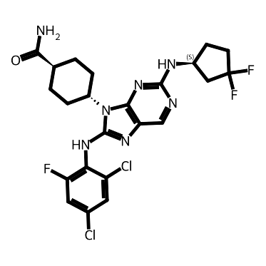 NC(=O)[C@H]1CC[C@H](n2c(Nc3c(F)cc(Cl)cc3Cl)nc3cnc(N[C@H]4CCC(F)(F)C4)nc32)CC1